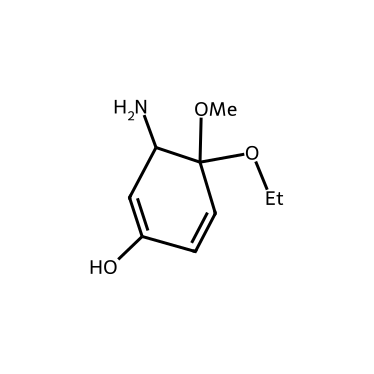 CCOC1(OC)C=CC(O)=CC1N